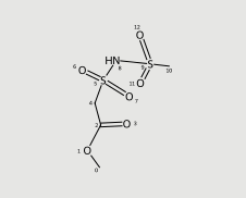 COC(=O)CS(=O)(=O)NS(C)(=O)=O